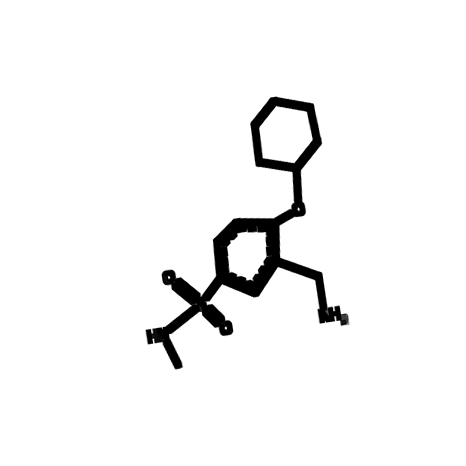 CNS(=O)(=O)c1ccc(OC2CCCCC2)c(CN)c1